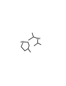 CC(C)NC(C)C.CC1CCNCC1